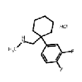 CNCC1(c2ccc(F)c(F)c2)CCCCC1.Cl